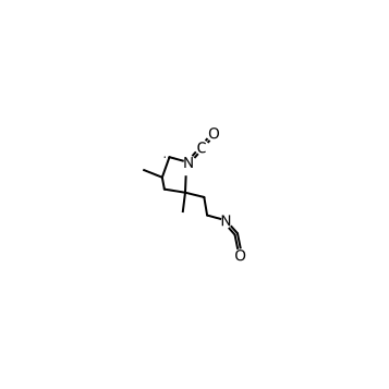 CC([CH]N=C=O)CC(C)(C)CCN=C=O